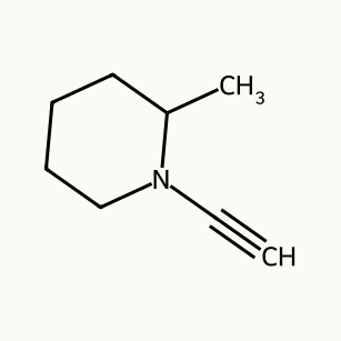 C#CN1CCCCC1C